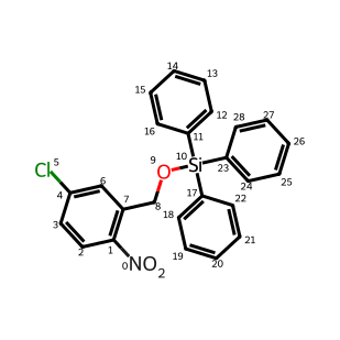 O=[N+]([O-])c1ccc(Cl)cc1CO[Si](c1ccccc1)(c1ccccc1)c1ccccc1